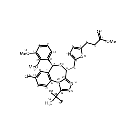 COC(=O)CCc1cnc(C[C@H]2S[C@H](c3cccc(OC)c3OC)c3cc(Cl)ccc3-n3c2nnc3C(C)(F)F)s1